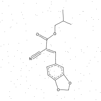 CC(C)COC(=O)/C(C#N)=C/c1ccc2c(c1)OCO2